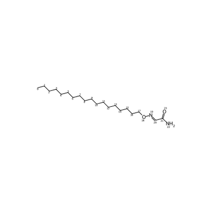 CCCCCCCCCCCCCCCCCCON=CC(N)=O